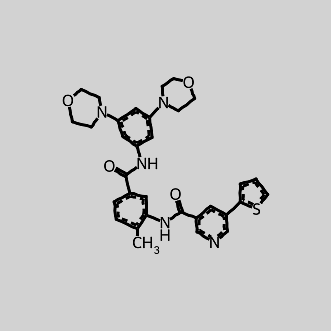 Cc1ccc(C(=O)Nc2cc(N3CCOCC3)cc(N3CCOCC3)c2)cc1NC(=O)c1cncc(-c2cccs2)c1